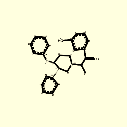 CC(C(=O)c1cccc(O)c1)N1CC[C@H](Oc2ccccc2)[C@@H](c2ccccc2)C1